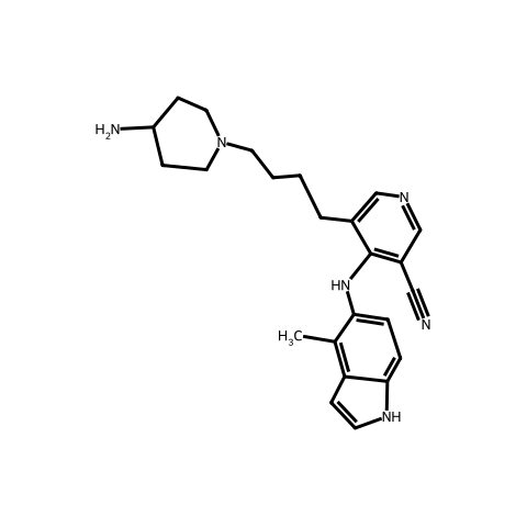 Cc1c(Nc2c(C#N)cncc2CCCCN2CCC(N)CC2)ccc2[nH]ccc12